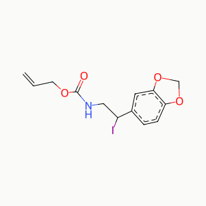 C=CCOC(=O)NCC(I)c1ccc2c(c1)OCO2